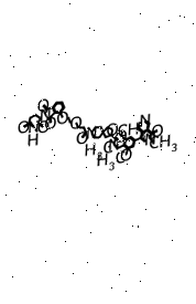 COc1cc(-c2cn(C)c(=O)c3cnccc23)cc(OC)c1CN(C)CC1CC2(CCN(C(=O)CCOCCOc3cccc4c3C(=O)N(C3CCC(=O)NC3=O)C4=O)CC2)CO1